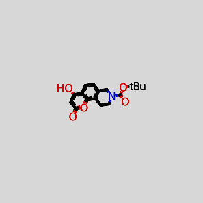 CC(C)(C)OC(=O)N1CCc2c(ccc3c(O)cc(=O)oc23)C1